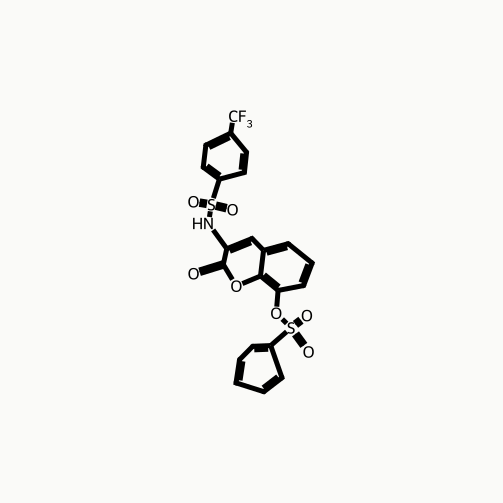 O=c1oc2c(OS(=O)(=O)c3ccccc3)cccc2cc1NS(=O)(=O)c1ccc(C(F)(F)F)cc1